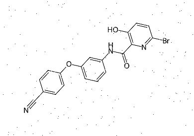 N#Cc1ccc(Oc2cccc(NC(=O)c3nc(Br)ccc3O)c2)cc1